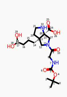 CC(C)(C)OC(=O)NCC(=O)N1C[C@@]2(CCCB(O)O)CCN[C@@]2(C(=O)O)C1